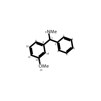 CNC(c1ccccc1)c1cccc(OC)c1